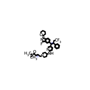 CN(C)C(=O)/C=C/CN1CCC(Nc2ccc(/C(=C(/CC(F)(F)F)c3ccccc3)c3ccc4c(c3)c(F)nn4C3CCCCO3)cn2)CC1